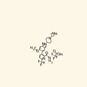 COc1cc2nn(C3CCN(C4CNC4)CC3)cc2cc1-c1ccc(C(F)(F)F)nc1C(N)=O.O=C(O)C(F)(F)F